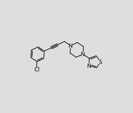 Clc1cccc(C#CCN2CCN(c3cscn3)CC2)c1